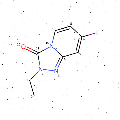 CCn1nc2cc(I)ccn2c1=O